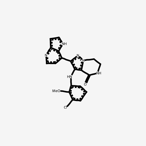 COc1c(Cl)cccc1Nc1c(-c2ccnc3cc[nH]c23)nn2c1C(=O)NCC2